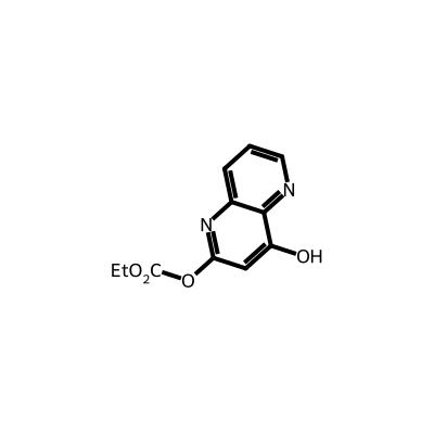 CCOC(=O)Oc1cc(O)c2ncccc2n1